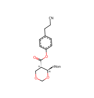 CCCCCCCCC[C@H]1OCOC[C@@H]1C(=O)Oc1ccc(CCC#N)cc1